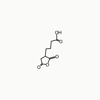 O=C(O)CCCC1CC(=O)OC1=O